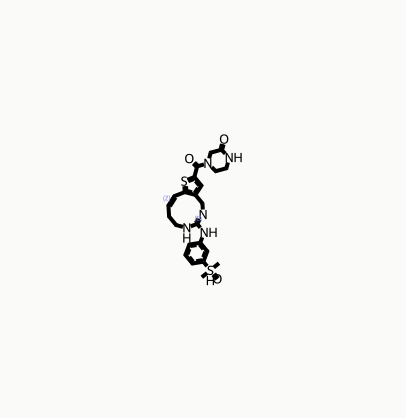 C[SH](C)(=O)c1cccc(N/C2=N/Cc3cc(C(=O)N4CCNC(=O)C4)sc3/C=C\CCN2)c1